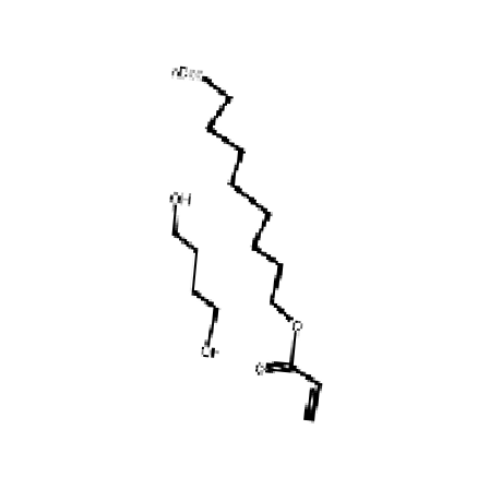 C=CC(=O)OCCCCCCCCCCCCCCCCCC.OCCCCO